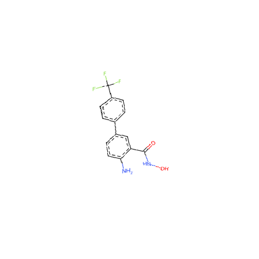 Nc1ccc(-c2ccc(C(F)(F)F)cc2)cc1C(=O)NO